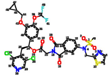 CS(=O)(=O)N(Cc1nccs1)c1ccc2c(c1)C(=O)N(CC(=O)O[C@@H](Cc1c(Cl)cncc1Cl)c1ccc(OC(F)F)c(OCC3CC3)c1)C2=O